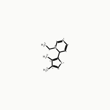 CCN1C=NC=CC1c1scc(C)c1C